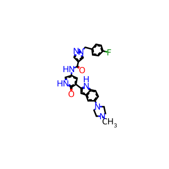 CN1CCN(c2ccc3[nH]c(-c4cc(NC(=O)c5cnn(Cc6ccc(F)cc6)c5)c[nH]c4=O)cc3c2)CC1